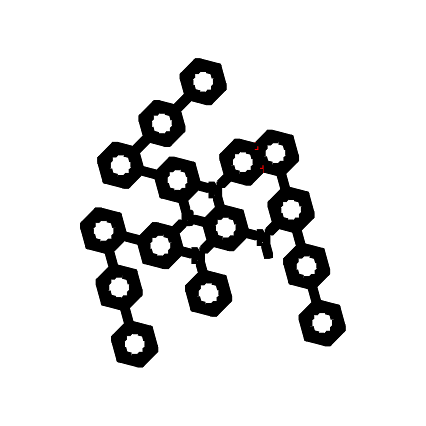 CN(c1cc2c3c(c1)N(c1ccccc1)c1ccc(-c4ccccc4-c4ccc(-c5ccccc5)cc4)cc1B3c1cc(-c3ccccc3-c3ccc(-c4ccccc4)cc3)ccc1N2c1ccccc1)c1cc(-c2ccccc2)ccc1-c1ccc(-c2ccccc2)cc1